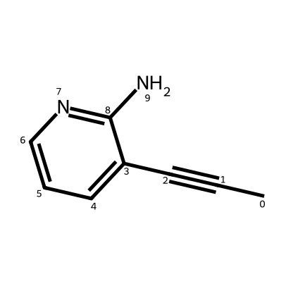 CC#Cc1cccnc1N